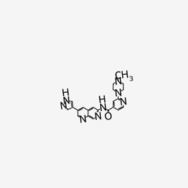 CN1CCN(c2cc(C(=O)Nc3cc4cc(-c5cn[nH]c5)cnc4cn3)ccn2)CC1